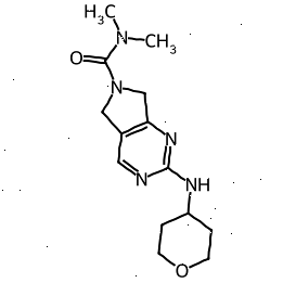 CN(C)C(=O)N1Cc2cnc(NC3CCOCC3)nc2C1